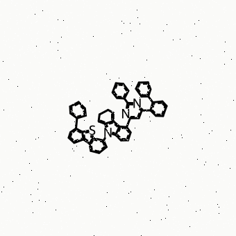 C1=c2c(n(-c3cccc4c3sc3c(-c5ccccc5)cccc34)c3cccc(-c4cc(-c5ccccc5-c5ccccc5)nc(-c5ccccc5)n4)c23)=CCC1